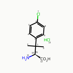 CC(C)(c1ccc(Cl)cc1)[C@H](N)C(=O)O.Cl